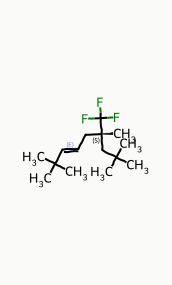 CC(C)(C)/C=C/C[C@@](C)(CC(C)(C)C)C(F)(F)F